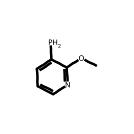 COc1ncccc1P